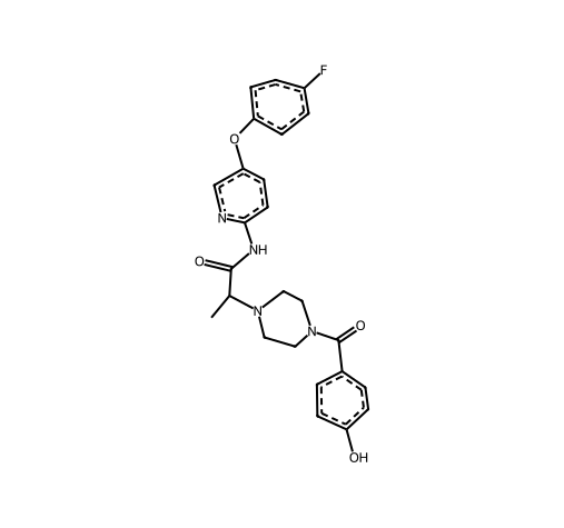 CC(C(=O)Nc1ccc(Oc2ccc(F)cc2)cn1)N1CCN(C(=O)c2ccc(O)cc2)CC1